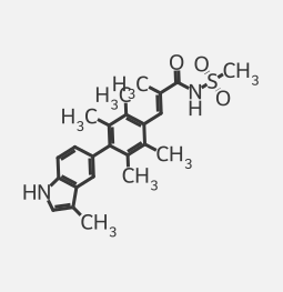 C/C(=C\c1c(C)c(C)c(-c2ccc3[nH]cc(C)c3c2)c(C)c1C)C(=O)NS(C)(=O)=O